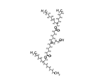 CCCCCCCCC(CCCCCC)COC(=O)CCCCCN(CCCO)CCCCCC(=O)OCC(CCCCCC)CCCCCCCC